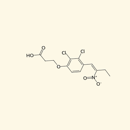 CCC(=Cc1ccc(OCCC(=O)O)c(Cl)c1Cl)[N+](=O)[O-]